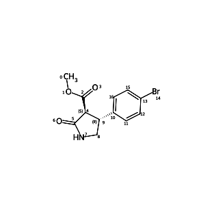 COC(=O)[C@@H]1C(=O)NC[C@H]1c1ccc(Br)cc1